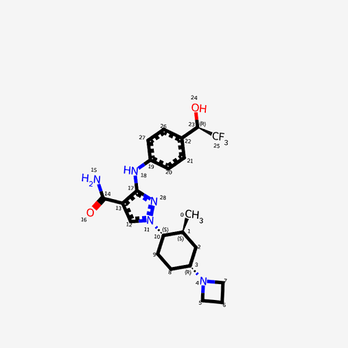 C[C@H]1C[C@H](N2CCC2)CC[C@@H]1n1cc(C(N)=O)c(Nc2ccc([C@@H](O)C(F)(F)F)cc2)n1